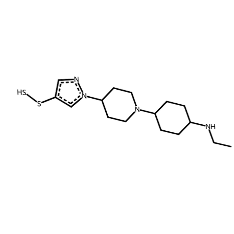 CCNC1CCC(N2CCC(n3cc(SS)cn3)CC2)CC1